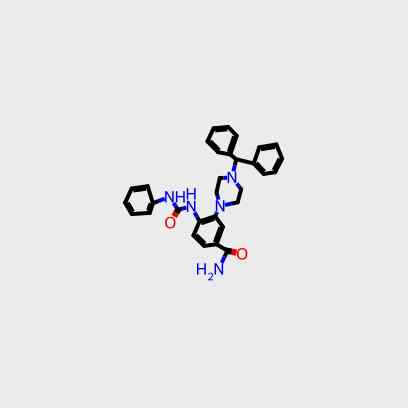 NC(=O)c1ccc(NC(=O)Nc2ccccc2)c(N2CCN(C(c3ccccc3)c3ccccc3)CC2)c1